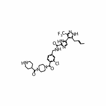 C/C=C/Cc1[nH]nc(C(F)(F)F)c1-c1cnc(C(=O)NCc2ccc(C(=O)N3CCN(C(=O)C4CCNCC4)CC3)c(Cl)c2)[nH]1